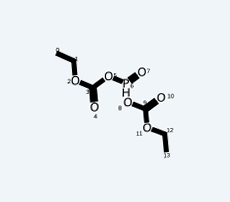 CCOC(=O)O[PH](=O)OC(=O)OCC